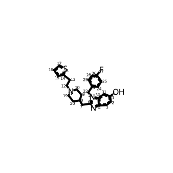 Oc1ccc2nc(CC3CCN(CCc4cccs4)CC3)n(Cc3ccc(F)cc3)c2c1